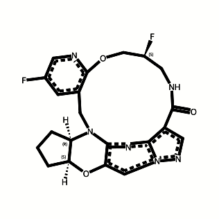 O=C1NC[C@H](F)COc2ncc(F)cc2CN2c3nc4c1cnn4cc3O[C@H]1CCC[C@H]12